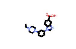 CCN1CCN(c2cccc(-n3cnc4cc(C(=O)O)ccc43)c2)CC1